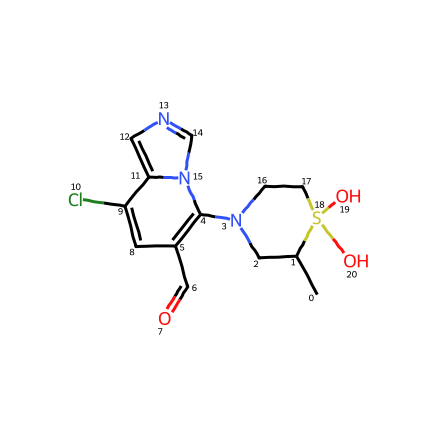 CC1CN(c2c(C=O)cc(Cl)c3cncn23)CCS1(O)O